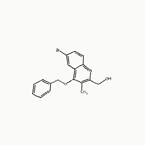 Cc1c(CO)nc2ccc(Br)cc2c1OCc1ccccc1